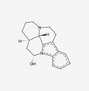 O[C@@H]1C[C@H]2CCCN3CCc4c(n1c1ccccc41)[C@H]23